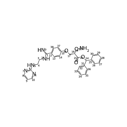 N=C(NCCNc1ncccn1)c1ccc(OC[C@@H](ON)C(=O)OC(c2ccccc2)c2ccccc2)cc1